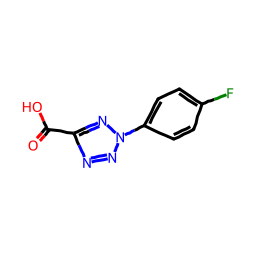 O=C(O)c1nnn(-c2ccc(F)cc2)n1